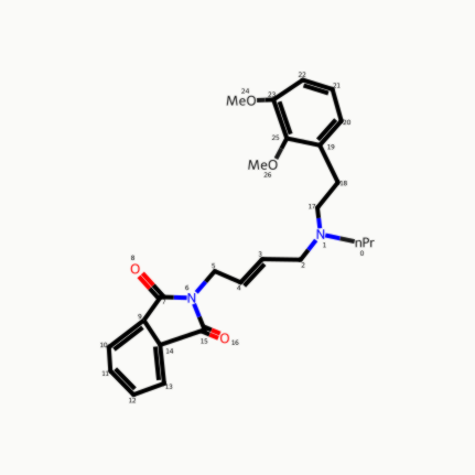 CCCN(CC=CCN1C(=O)c2ccccc2C1=O)CCc1cccc(OC)c1OC